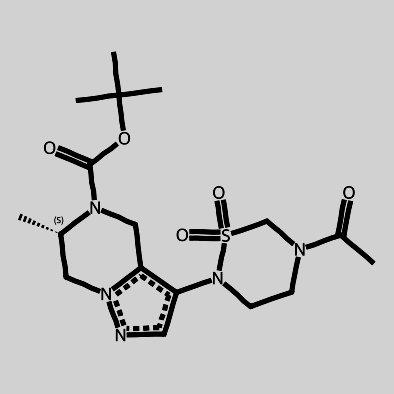 CC(=O)N1CCN(c2cnn3c2CN(C(=O)OC(C)(C)C)[C@@H](C)C3)S(=O)(=O)C1